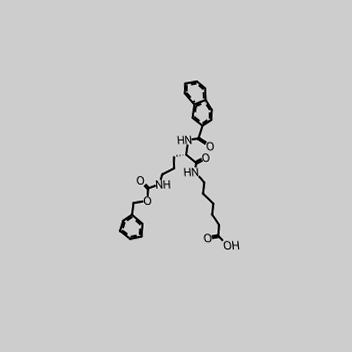 O=C(O)CCCCCNC(=O)[C@H](CCCNC(=O)OCc1ccccc1)NC(=O)c1ccc2ccccc2c1